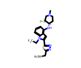 CC(=O)NCc1nnc(-c2cc3c(N[C@H]4CCN(C)C[C@H]4F)cccc3n2CC(F)(F)F)s1